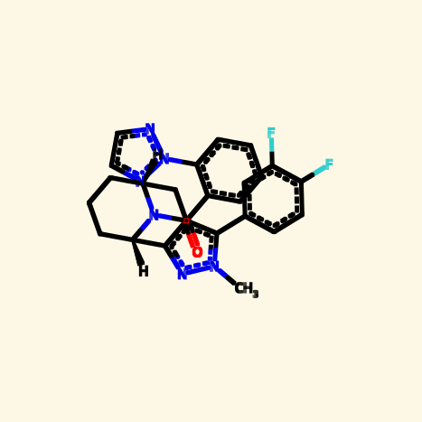 Cn1nc2c(c1-c1ccc(F)c(F)c1)C[C@H]1CCC[C@@H]2N1C(=O)c1ccccc1-n1nccn1